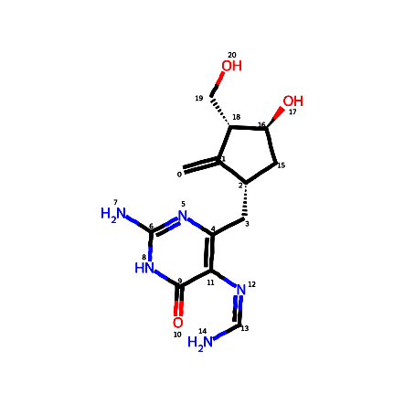 C=C1[C@@H](Cc2nc(N)[nH]c(=O)c2/N=C\N)C[C@H](O)[C@H]1CO